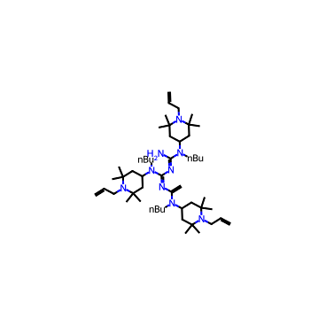 C=CCN1C(C)(C)CC(N(CCCC)C(=C)/N=C(\N=C(/N)N(CCCC)C2CC(C)(C)N(CC=C)C(C)(C)C2)N(CCCC)C2CC(C)(C)N(CC=C)C(C)(C)C2)CC1(C)C